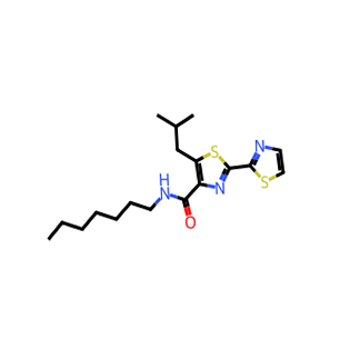 CCCCCCCNC(=O)c1nc(-c2nccs2)sc1CC(C)C